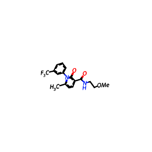 COCCNC(=O)c1ccc(C)n(-c2cccc(C(F)(F)F)c2)c1=O